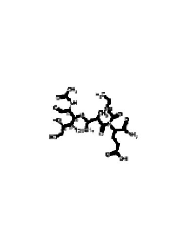 CCNC(=O)N(C(=O)C(C)C(C)O[C@@H]([C@H](O)[C@H](O)CO)[C@H](C=O)NC(C)=O)C(CCC(=O)O)C(N)=O